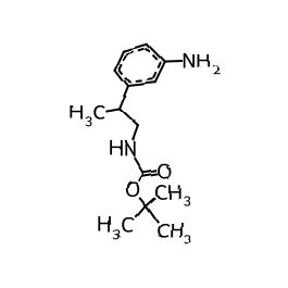 CC(CNC(=O)OC(C)(C)C)c1cccc(N)c1